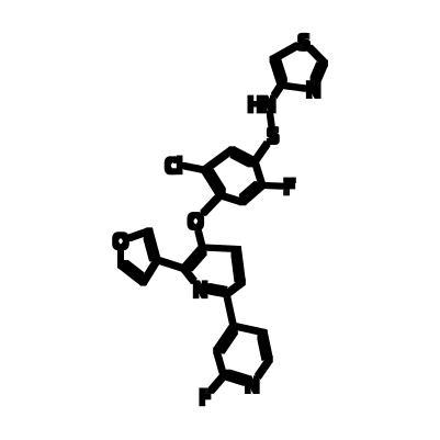 Fc1cc(-c2ccc(Oc3cc(F)c(SNc4cscn4)cc3Cl)c(-c3ccoc3)n2)ccn1